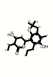 CCCc1c(O)c(C)c2c(c1C1CC(O)C(CC)C(=O)O1)OC(C)(C)C2